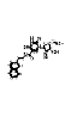 O=C(NCCc1ccc2ccccc2c1)c1cn([C@@H]2O[C@H](CO)[C@H](O)[C@H]2OF)c(=O)[nH]c1=O